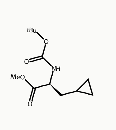 COC(=O)[C@H](CC1CC1)NC(=O)OC(C)(C)C